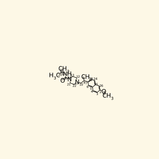 COc1ccc2cc(C(C)CN3CCN(C(=O)NC(C)C)CC3)ccc2c1